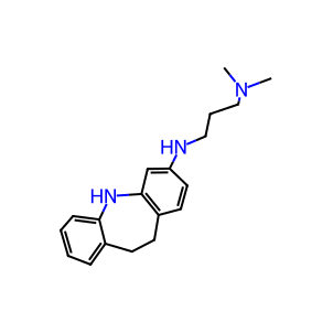 CN(C)CCCNc1ccc2c(c1)Nc1ccccc1CC2